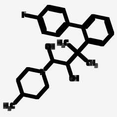 CC1CCN(C(O)C(O)C(C)(C)c2ccccc2-c2ccc(F)cc2)CC1